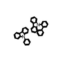 c1ccc(-c2ccccc2-n2c3ccccc3c3ccccc32)cc1.c1ccc(-n2c3ccccc3c3ccccc32)cc1